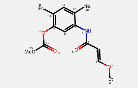 CCO/C=C/C(=O)Nc1cc(OC(=O)OC)c(C(C)C)cc1C(C)(C)C